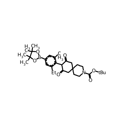 CCc1cc(B2OC(C)(C)C(C)(C)O2)cc(C)c1C1C(=O)CC2(CCN(C(=O)OC(C)(C)C)CC2)CC1=O